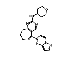 C1=C(c2ccn3nccc3n2)c2cnc(NC3CCOCC3)nc2CCC1